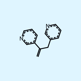 C=C(Cc1cccnc1)c1cccnc1